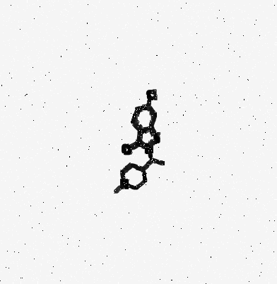 CC(C1CCN(C)CC1)n1sc2cc(Cl)ccc2c1=O